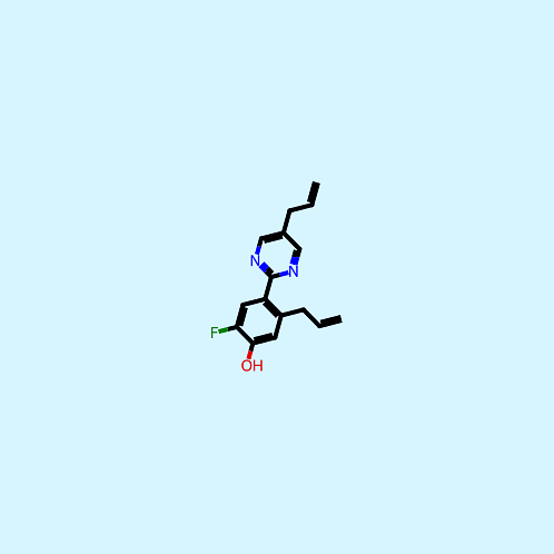 C=CCc1cnc(-c2cc(F)c(O)cc2CC=C)nc1